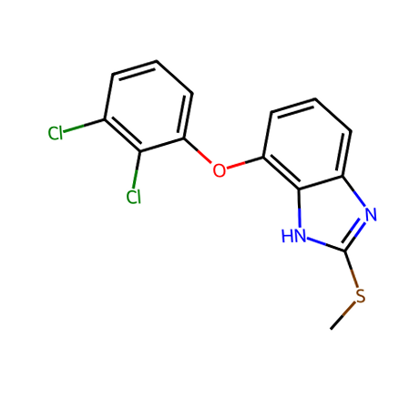 CSc1nc2cccc(Oc3cccc(Cl)c3Cl)c2[nH]1